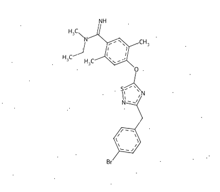 CCN(C)C(=N)c1cc(C)c(Oc2nc(Cc3ccc(Br)cc3)ns2)cc1C